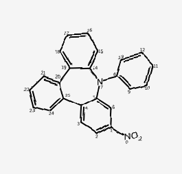 O=[N+]([O-])c1ccc2c(c1)N(c1ccccc1)c1ccccc1-c1ccccc1-2